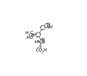 C=[N+](O)c1cc(-c2ccc3cn[nH]c3c2)cc(-c2nnc(SCC(=O)O)[nH]2)c1